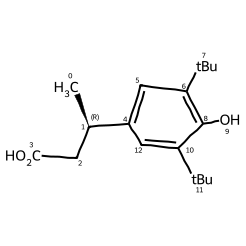 C[C@H](CC(=O)O)c1cc(C(C)(C)C)c(O)c(C(C)(C)C)c1